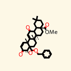 COC(=O)[C@]12CCC(C)(C)CC1C1C(=O)C=C3[C@@]4(C)C=CC(=O)[C@@H](C)C4(C(=O)OCc4ccccc4)CC[C@@]3(C)[C@]1(C)CC2